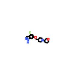 Fc1cc(OCC2CCN(C3CCCOC3)CC2)cc2[nH]ncc12